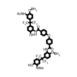 BOc1ccc(C(c2ccc(O)c(NC(=O)c3ccc(Oc4ccc(C(=O)Nc5cc(C(c6ccc(O)c(NC)c6)(C(F)(F)F)C(F)(F)F)ccc5OB)cc4)cc3)c2)(C(F)(F)F)C(F)(F)F)cc1NC(C)=O